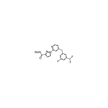 CNC(=O)c1ccn(-c2cc(Cc3cc(F)cc(C(F)F)c3)ccn2)n1